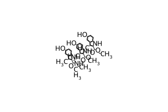 CCOC(=O)c1[nH]c2ccc(O)cc2c1C.COC(=O)c1[nH]c2ccc(O)cc2c1C.Cc1c(C(=O)NC(C)C)[nH]c2ccc(O)cc12